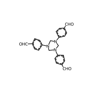 O=Cc1ccc(N2CN(c3ccc(C=O)cc3)CN(c3ccc(C=O)cc3)C2)cc1